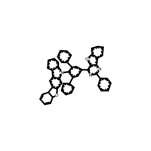 C1=CC2Oc3cc4c(cc3C2C=C1)c1ccccc1n4-c1c(-c2ccccc2)cc(-c2nc(-c3ccccc3)nc3c2oc2ccccc23)cc1-c1ccccc1